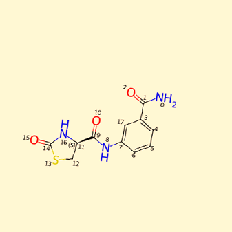 NC(=O)c1cccc(NC(=O)[C@H]2CSC(=O)N2)c1